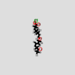 CC(CC(C)(C)C(=O)C(C)(C)C)C(C)C(C)(C)OCCC(C)(C)C(C)(C)CC(C)(C)C(=O)OCl